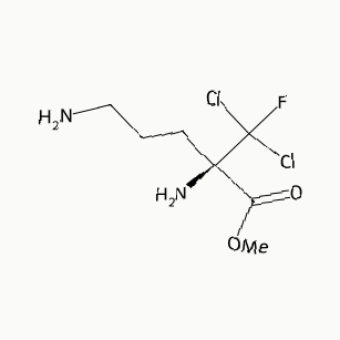 COC(=O)[C@](N)(CCCN)C(F)(Cl)Cl